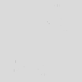 CCCn1cc(-c2ccc3cc4c(cc3c2)C(C)(C)CCC4(C)C)cc1C(=O)O